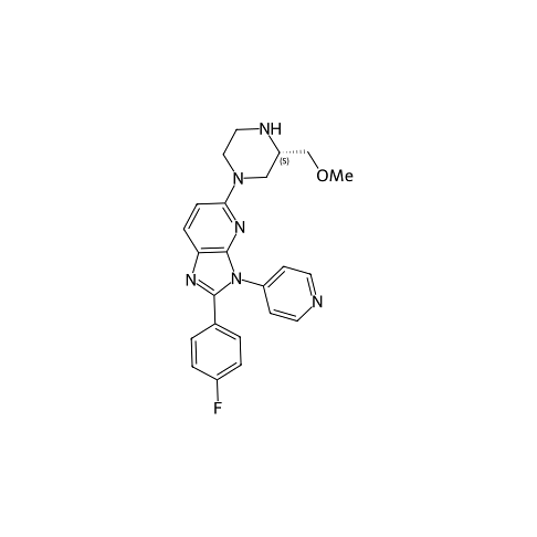 COC[C@@H]1CN(c2ccc3nc(-c4ccc(F)cc4)n(-c4ccncc4)c3n2)CCN1